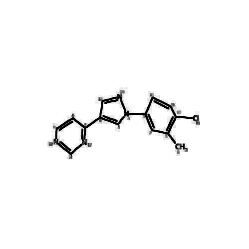 Cc1cc(-n2cc(-c3ccncn3)cn2)ccc1Cl